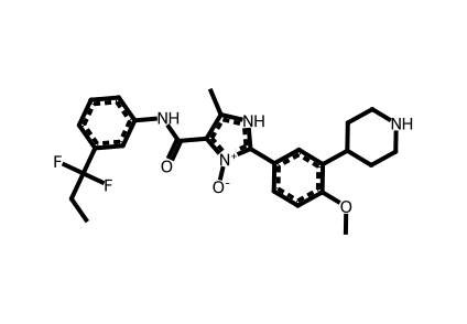 CCC(F)(F)c1cccc(NC(=O)c2c(C)[nH]c(-c3ccc(OC)c(C4CCNCC4)c3)[n+]2[O-])c1